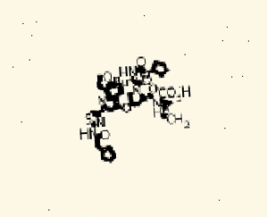 C=C[C@@H]1C[C@]1(NC(=O)[C@@H]1C[C@@H](Oc2cc(-c3csc(NC(=O)CC4CCCC4)n3)nc3c4c(ccc23)OCC4)CN1C(=O)[C@@H](NC(=O)OC1CCCC1)C(C)(C)C)C(=O)O